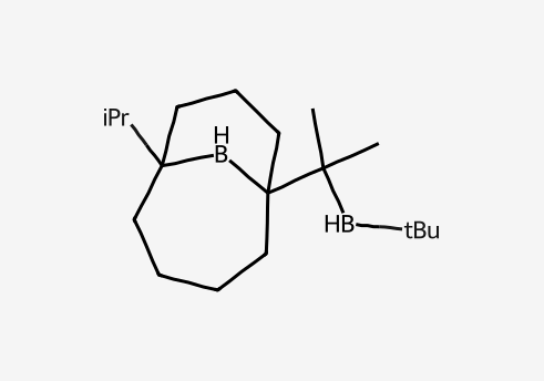 CC(C)C12BC(C(C)(C)BC(C)(C)C)(CCCC1)CCC2